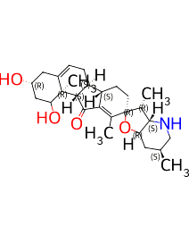 CC1=C2C(=O)[C@H]3[C@@H](CC=C4C[C@@H](O)CC(O)[C@@]43C)[C@@H]2CC[C@]12O[C@@H]1C[C@H](C)CN[C@H]1[C@H]2C